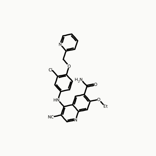 CCOc1cc2ncc(C#N)c(Nc3ccc(OCc4ccccn4)c(Cl)c3)c2cc1C(N)=O